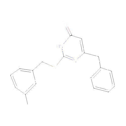 Cc1cccc(CSc2nc(Cc3ccccc3)cc(=O)[nH]2)c1